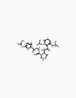 CC(C)CC(NC(=O)[C@@H]1CCCC[C@@H]1NC(=O)c1ccccc1CN(C)C)C(=O)c1nnc(SC(C)C)o1